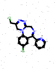 ClCC1=NN=C2CN=C(c3ccccn3)c3cc(Br)ccc3N2C1